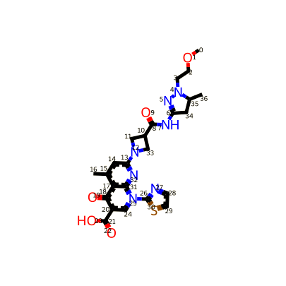 COCCN1N=C(NC(=O)C2CN(c3cc(C)c4c(=O)c(C(=O)O)cn(-c5nccs5)c4n3)C2)CC1C